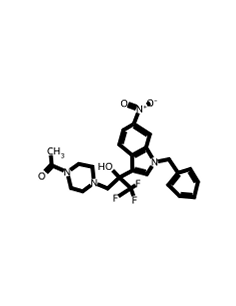 CC(=O)N1CCN(CC(O)(c2cn(Cc3ccccc3)c3cc([N+](=O)[O-])ccc23)C(F)(F)F)CC1